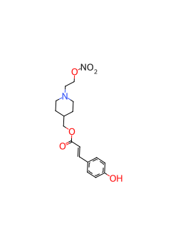 O=C(/C=C/c1ccc(O)cc1)OCC1CCN(CCO[N+](=O)[O-])CC1